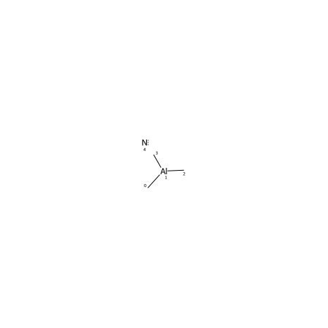 [CH3][Al]([CH3])[CH3].[N]